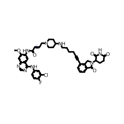 COc1cc2ncnc(Nc3ccc(F)c(Cl)c3)c2cc1NC(=O)/C=C/CN1CCC(NCCCCC#Cc2cccc3c2CN(C2CCC(=O)NC2=O)C3=O)CC1